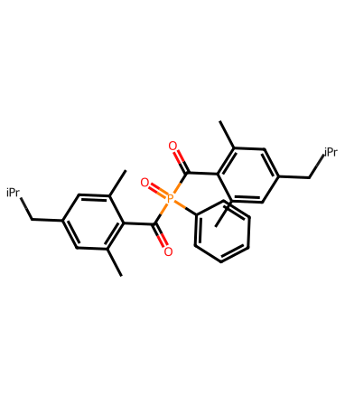 Cc1cc(CC(C)C)cc(C)c1C(=O)P(=O)(C(=O)c1c(C)cc(CC(C)C)cc1C)c1ccccc1